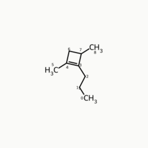 C[CH]CC1=C(C)CC1C